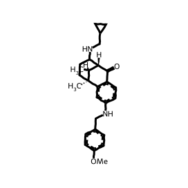 COc1ccc(CNc2ccc3c(c2)[C@@]2(C)CCC(NCC4CC4)[C@H](C3=O)[C@@H]2C)cc1